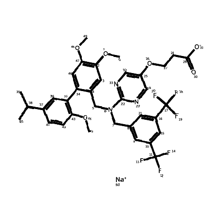 COc1cc(CN(Cc2cc(C(F)(F)F)cc(C(F)(F)F)c2)c2ncc(OCCC(=O)[O-])cn2)c(-c2cc(C(C)C)ccc2OC)cc1OC.[Na+]